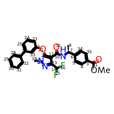 COC(=O)c1ccc([C@H](C)NC(=O)c2c(C(F)F)nn(C)c2Oc2cccc(-c3ccccc3)c2)cc1